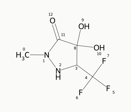 CN1NC(C(F)(F)F)C(O)(O)C1=O